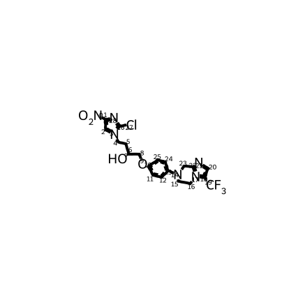 O=[N+]([O-])c1cn(CC[C@@H](O)COc2ccc(N3CCn4c(C(F)(F)F)cnc4C3)cc2)c(Cl)n1